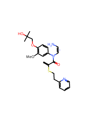 C=C(SCCc1ccccn1)C(=O)N(/C=C\N)c1ccc(OCC(C)(C)O)c(OC)c1